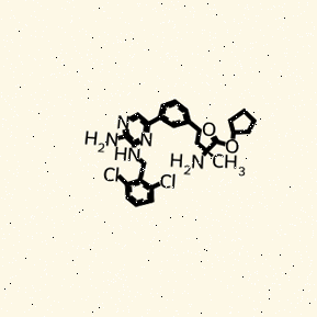 C[C@@](N)(CCc1cccc(-c2cnc(N)c(NCc3c(Cl)cccc3Cl)n2)c1)C(=O)OC1CCCC1